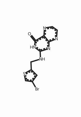 O=c1[nH]c(NCc2cc(Br)cs2)nc2nccnc12